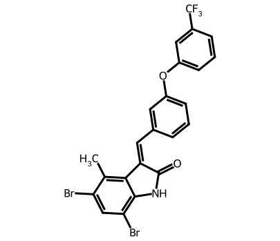 Cc1c(Br)cc(Br)c2c1C(=Cc1cccc(Oc3cccc(C(F)(F)F)c3)c1)C(=O)N2